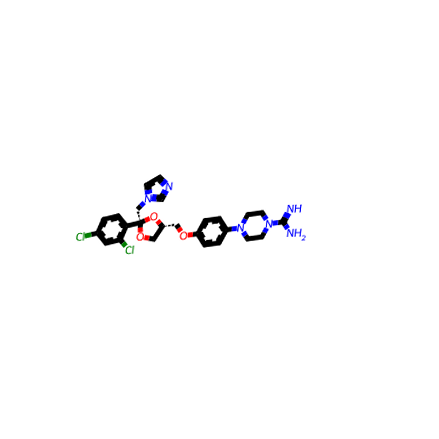 N=C(N)N1CCN(c2ccc(OC[C@@H]3CO[C@@](Cn4ccnc4)(c4ccc(Cl)cc4Cl)O3)cc2)CC1